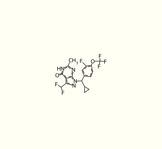 Cc1nc2c(c(C(F)F)nn2C(c2ccc(OC(F)(F)F)c(F)c2)C2CC2)c(=O)[nH]1